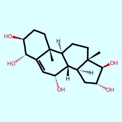 C[C@]12CC[C@H]3[C@@H]([C@H](O)C=C4[C@H](O)[C@@H](O)CC[C@@]43C)[C@@H]1C[C@@H](O)[C@@H]2O